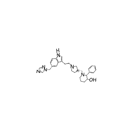 OC1CCCN(C[C@@H]2CCN(CCc3c[nH]c4ccc(Cn5cncn5)cc34)C2)C1c1ccccc1